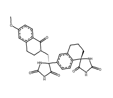 COc1ccc2c(c1)CCN(C[C@@]1(c3ccc4c(c3)CCC[C@]43NC(=O)NC3=O)NC(=O)NC1=O)C2=O